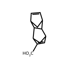 O=C(O)C1=CC2CC1C1C3C=CC(C3)C21